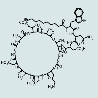 CCC(C)CCCCCCCCC(=O)NC(Cc1c[nH]c2ccccc12)C(=O)NC(CC(N)=O)C(=O)NC(CC(=O)O)C(=O)NC1C(=O)NCC(=O)NC(CCCN)C(=O)NC(CC(=O)O)C(=O)NC(C)C(=O)NC(CC(=O)O)C(=O)NCC(=O)NC(C)C(=O)NC(C(C)CC(=O)O)C(=O)NC(C(C)C)C(=O)OC1C